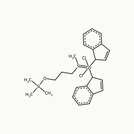 C[Si](CCCO[Si](C)(C)C)=[Zr]([Cl])([Cl])([CH]1C=Cc2ccccc21)[CH]1C=Cc2ccccc21